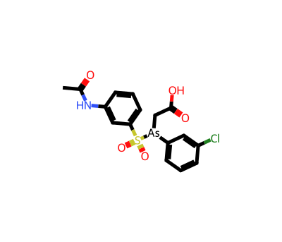 CC(=O)Nc1cccc(S(=O)(=O)[As](CC(=O)O)c2cccc(Cl)c2)c1